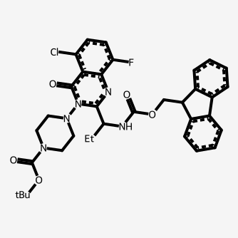 CCC(NC(=O)OCC1c2ccccc2-c2ccccc21)c1nc2c(F)ccc(Cl)c2c(=O)n1N1CCN(C(=O)OC(C)(C)C)CC1